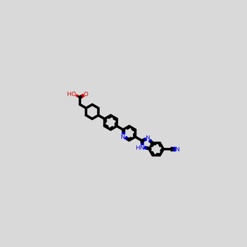 N#Cc1ccc2[nH]c(-c3ccc(-c4ccc(C5CCC(CC(=O)O)CC5)cc4)nc3)nc2c1